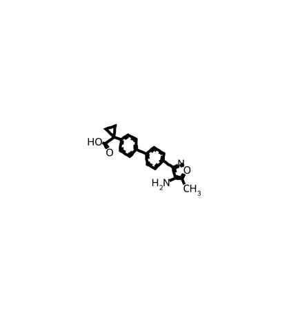 Cc1onc(-c2ccc(-c3ccc(C4(C(=O)O)CC4)cc3)cc2)c1N